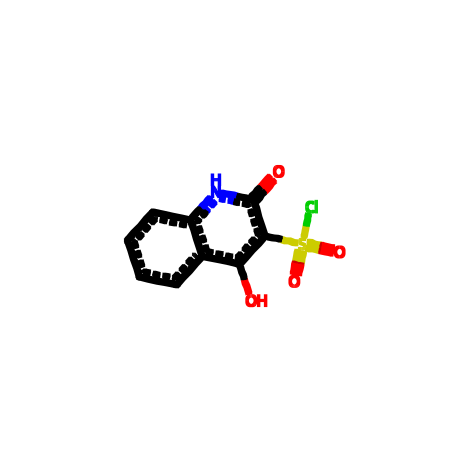 O=c1[nH]c2ccccc2c(O)c1S(=O)(=O)Cl